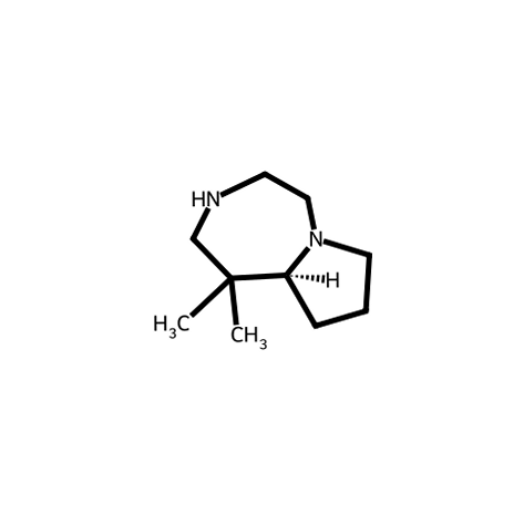 CC1(C)CNCCN2CCC[C@H]21